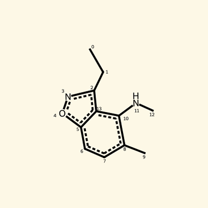 CCc1noc2ccc(C)c(NC)c12